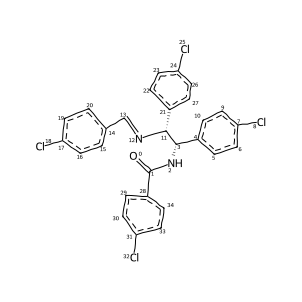 O=C(N[C@@H](c1ccc(Cl)cc1)[C@H](/N=C/c1ccc(Cl)cc1)c1ccc(Cl)cc1)c1ccc(Cl)cc1